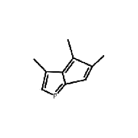 CC1=[C]P=C2C=C(C)C(C)=C12